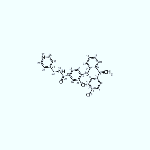 C=C(c1ccc(Cl)cc1)c1ccccc1Sc1ccc(C(=O)NCc2ccncc2)cc1C